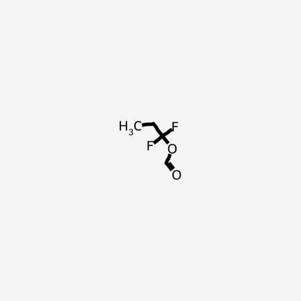 CCC(F)(F)OC=O